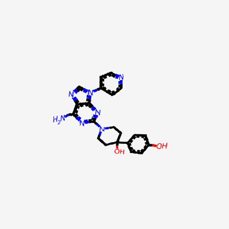 Nc1nc(N2CCC(O)(c3ccc(O)cc3)CC2)nc2c1ncn2-c1ccncc1